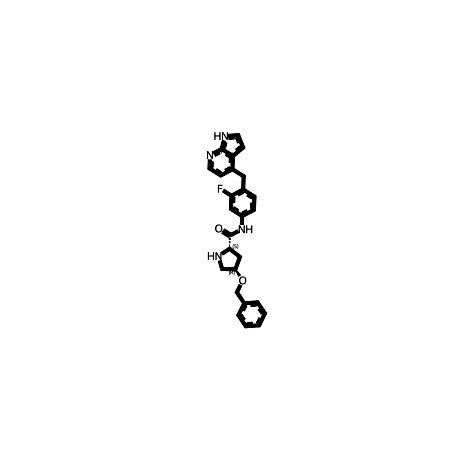 O=C(Nc1ccc(Cc2ccnc3[nH]ccc23)c(F)c1)[C@@H]1C[C@@H](OCc2ccccc2)CN1